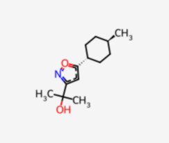 CC(C)(O)c1cc([C@H]2CC[C@H](C)CC2)on1